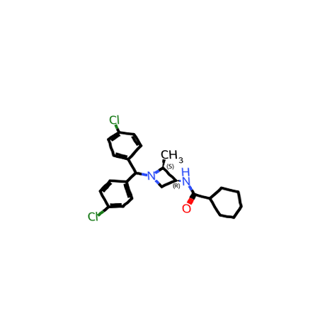 C[C@H]1[C@H](NC(=O)C2CCCCC2)CN1C(c1ccc(Cl)cc1)c1ccc(Cl)cc1